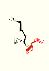 CCCCCCCCS(=O)O.[LiH]